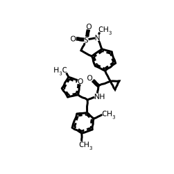 Cc1ccc(C(NC(=O)C2(c3ccc4c(c3)CS(=O)(=O)N4C)CC2)c2ccc(C)o2)c(C)c1